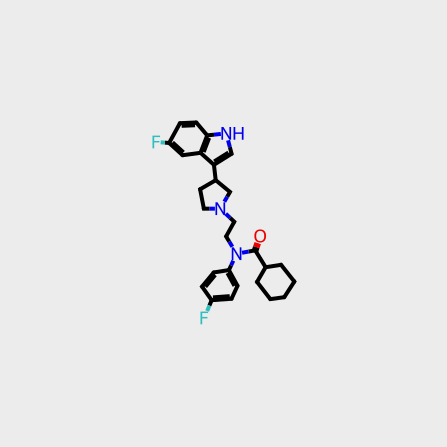 O=C(C1CCCCC1)N(CCN1CCC(c2c[nH]c3ccc(F)cc23)C1)c1ccc(F)cc1